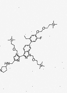 CCc1cc(OCOCC[Si](C)(C)C)c(F)cc1-c1ccc2c(-c3nc(CNC4CCN(C)C4)cn3COCC[Si](C)(C)C)nn(COCC[Si](C)(C)C)c2c1